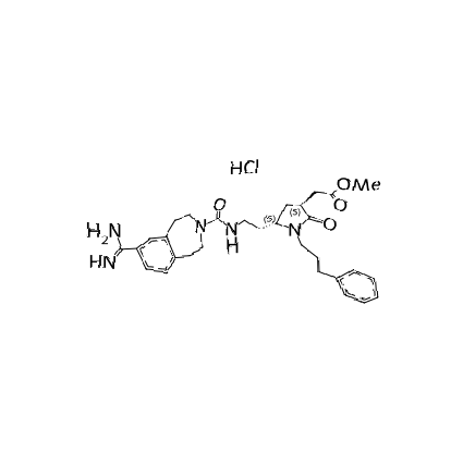 COC(=O)C[C@@H]1C[C@@H](CCNC(=O)N2CCc3ccc(C(=N)N)cc3CC2)N(CCCc2ccccc2)C1=O.Cl